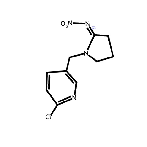 O=[N+]([O-])/N=C1/CCCN1Cc1ccc(Cl)nc1